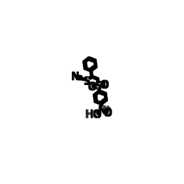 N#CSC(CS(=O)(=O)c1ccc([N+](=O)O)cc1)c1ccccc1